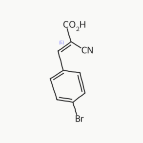 N#C/C(=C\c1ccc(Br)cc1)C(=O)O